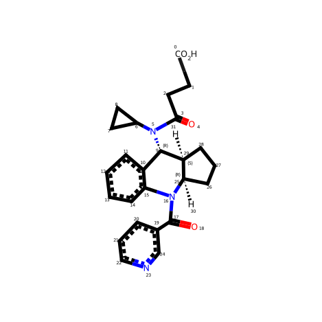 O=C(O)CCC(=O)N(C1CC1)[C@H]1c2ccccc2N(C(=O)c2cccnc2)[C@@H]2CCC[C@@H]21